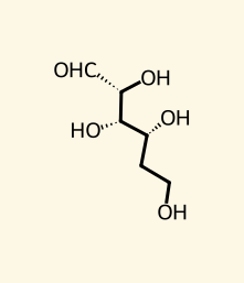 O=C[C@H](O)[C@@H](O)[C@H](O)CCO